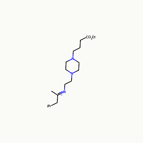 CCOC(=O)CCCN1CCN(CC/N=C(\C)CC(C)C)CC1